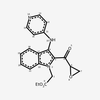 CCOC(=O)Cn1c(C(=O)C2CO2)c(Nc2ccncc2)c2ccccc21